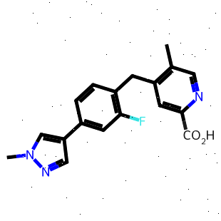 Cc1cnc(C(=O)O)cc1Cc1ccc(-c2cnn(C)c2)cc1F